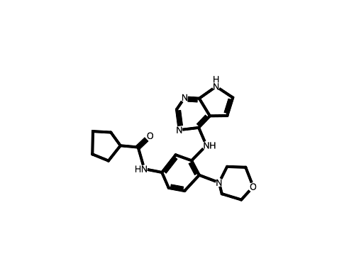 O=C(Nc1ccc(N2CCOCC2)c(Nc2ncnc3[nH]ccc23)c1)C1CCCC1